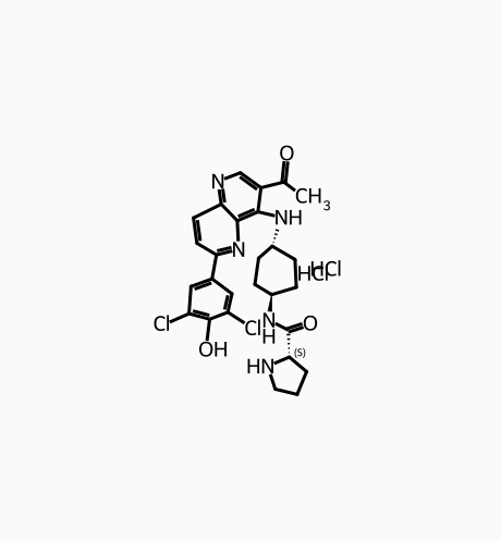 CC(=O)c1cnc2ccc(-c3cc(Cl)c(O)c(Cl)c3)nc2c1N[C@H]1CC[C@H](NC(=O)[C@@H]2CCCN2)CC1.Cl.Cl